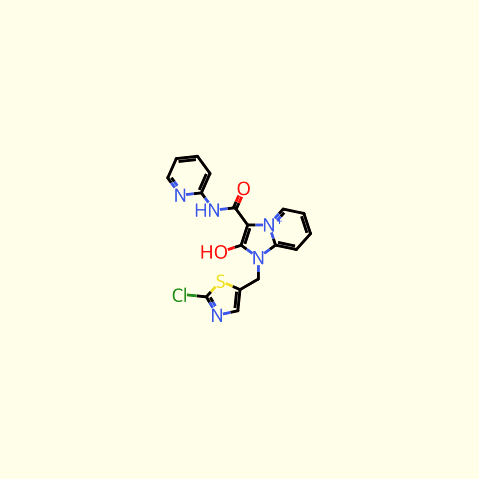 O=C(Nc1ccccn1)c1c(O)n(Cc2cnc(Cl)s2)c2cccc[n+]12